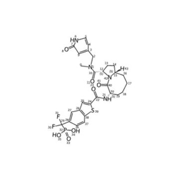 CN(Cc1cc[nH]c(=O)c1)C(=O)[C@@H]1CC[C@@H]2CCCC[C@H](NC(=O)c3cc4cc(C(F)(F)P(=O)(O)O)ccc4s3)C(=O)N21